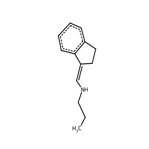 CCCN/C=C1\CCc2ccccc21